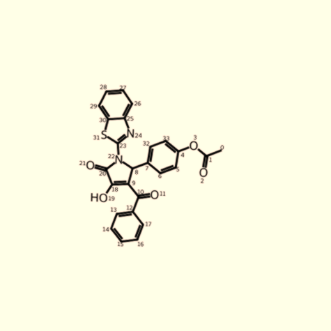 CC(=O)Oc1ccc(C2C(C(=O)c3ccccc3)=C(O)C(=O)N2c2nc3ccccc3s2)cc1